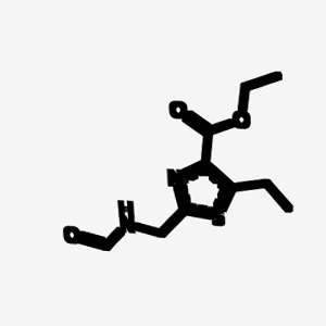 CCOC(=O)c1nc(CNC=O)sc1CC